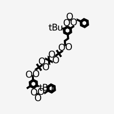 Cc1cc(CCC(=O)OCC(C)(C)C2OCC3(CO2)COC(C(C)(C)COC(=O)c2cc(C)c(OC(=O)OCc4ccccc4)c(C(C)(C)C)c2)OC3)cc(C(C)(C)C)c1OC(=O)OCc1ccccc1